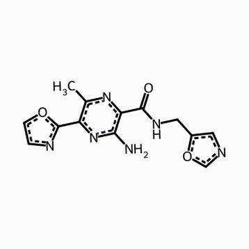 Cc1nc(C(=O)NCc2cnco2)c(N)nc1-c1ncco1